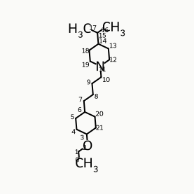 CCOC1CCC(CCCCN2CCC(C(C)C)CC2)CC1